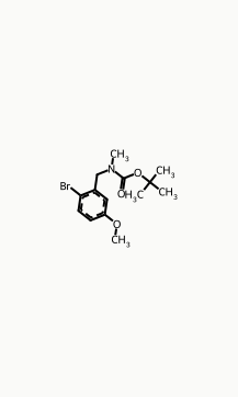 COc1ccc(Br)c(CN(C)C(=O)OC(C)(C)C)c1